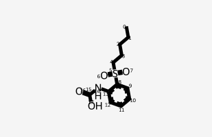 CCCCCS(=O)(=O)c1ccccc1NC(=O)O